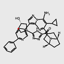 Nc1c(C2CC2)c(C2C[C@H]3CC[C@@H](C2)N3C(=O)c2nnc(N3CC[C@H](O)C3)[nH]2)nc2c(-c3ccc(-c4ccccc4)nc3)cnn12